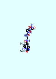 CNC(=O)c1cnc2ccc(-c3ccc(C(=O)NCCCCNC(=O)CNc4cccc5c4C(=O)N(C4CCC(=O)NC4=O)C5=O)c(C)c3)cc2c1Nc1ccccc1